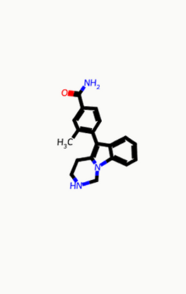 Cc1cc(C(N)=O)ccc1-c1c2n(c3ccccc13)CNCC2